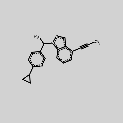 CC#Cc1cccc2c1cnn2C(C)c1ccc(C2CC2)nc1